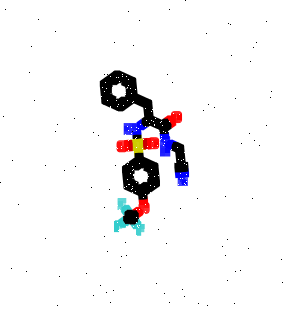 N#CCNC(=O)C(Cc1ccccc1)NS(=O)(=O)c1ccc(OC(F)(F)F)cc1